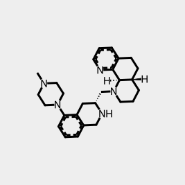 CN1CCN(c2cccc3c2C[C@H](CN2CCC[C@H]4CCc5cccnc5[C@@H]42)NC3)CC1